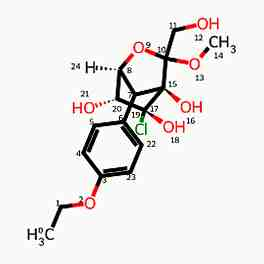 CCOc1ccc(C2[C@@H]3OC(CO)(OC)[C@]2(O)[C@](O)(Cl)[C@@H]3O)cc1